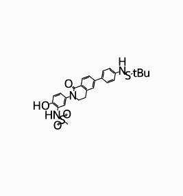 CC(C)(C)SNc1ccc(-c2ccc3c(c2)CCN(c2ccc(O)c(NS(C)(=O)=O)c2)C3=O)cc1